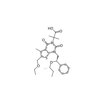 CCOCc1sc2c(c1C)c(=O)n(C(C)(C)C(=O)O)c(=O)n2C[C@H](O[C@@H](C)CC)c1ccccc1